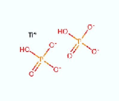 O=P([O-])([O-])O.O=P([O-])([O-])O.[Ti+4]